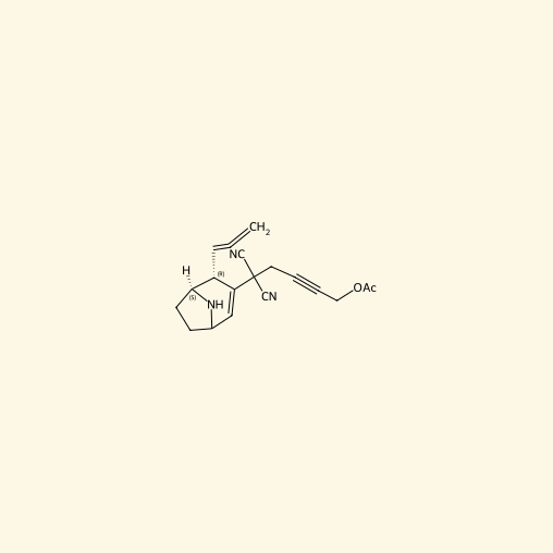 C=C=C[C@@H]1C(C(C#N)(C#N)CC#CCOC(C)=O)=CC2CC[C@@H]1N2